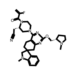 C=C(F)C(=O)N1CCN(c2nc(OC[C@@H]3CCCN3C)nc3c2CCC2(C3)CN(C)c3ccccc32)C[C@@H]1CC#N